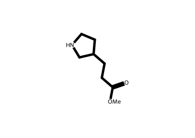 COC(=O)CCC1CCNC1